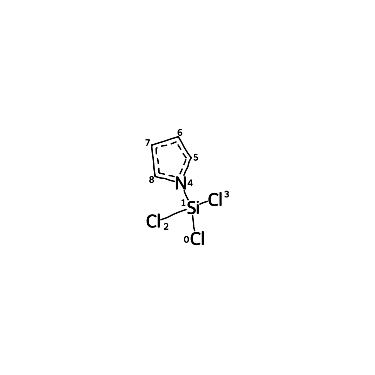 Cl[Si](Cl)(Cl)n1cccc1